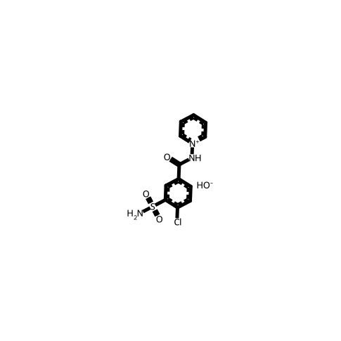 NS(=O)(=O)c1cc(C(=O)N[n+]2ccccc2)ccc1Cl.[OH-]